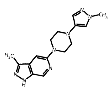 Cc1n[nH]c2cnc(N3CCN(c4cnn(C)c4)CC3)cc12